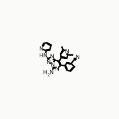 Cc1cc(-c2c(-c3cccc(C#N)c3)nc(N)n3nc(Nc4ccccn4)nc23)cc(C)n1